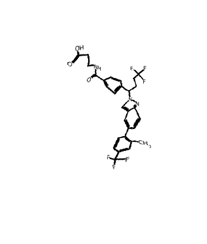 Cc1cc(C(F)(F)F)ccc1-c1ccc2nn(C(CCC(F)(F)F)c3ccc(C(=O)NCCC(=O)O)cc3)cc2c1